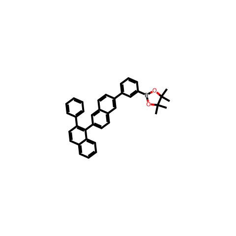 CC1(C)OB(c2cccc(-c3ccc4cc(-c5c(-c6ccccc6)ccc6ccccc56)ccc4c3)c2)OC1(C)C